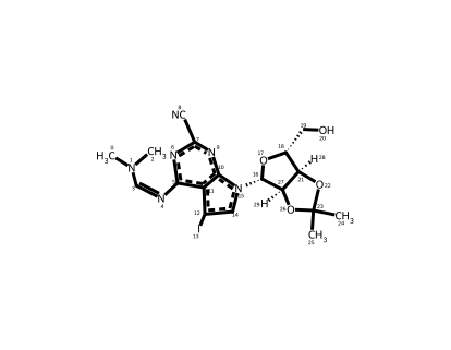 CN(C)/C=N\c1nc(C#N)nc2c1c(I)cn2[C@@H]1O[C@H](CO)[C@H]2OC(C)(C)O[C@H]21